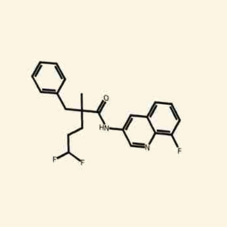 CC(CCC(F)F)(Cc1ccccc1)C(=O)Nc1cnc2c(F)cccc2c1